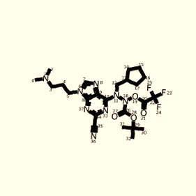 CN(C)CCCn1cnc2c(N(CC3CCCC3)N(OC(=O)C(F)(F)F)C(=O)OC(C)(C)C)nc(C#N)nc21